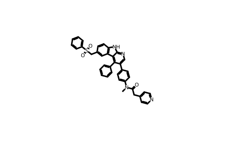 CN(C(=O)Cc1ccncc1)c1ccc(-c2cnc3[nH]c4ccc(CS(=O)(=O)c5ccccc5)cc4c3c2-c2ccccc2)cc1